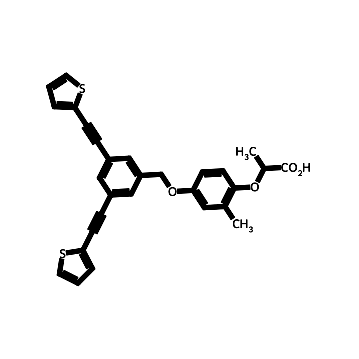 Cc1cc(OCc2cc(C#Cc3cccs3)cc(C#Cc3cccs3)c2)ccc1OC(C)C(=O)O